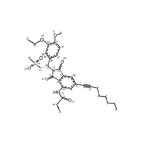 CCCCCCC#Cc1cc(NC(=O)CC)c2c(c1)C(=O)N([C@H](CS(C)(=O)=O)c1ccc(OC)c(OCC)c1)C2=O